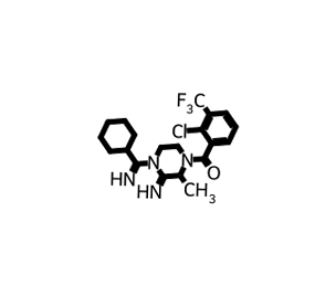 CC1C(=N)N(C(=N)C2CCCCC2)CCN1C(=O)c1cccc(C(F)(F)F)c1Cl